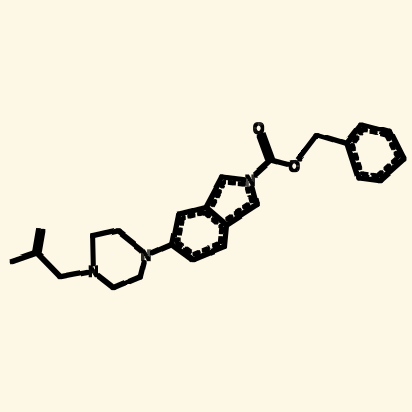 C=C(C)CN1CCN(c2ccc3cn(C(=O)OCc4ccccc4)cc3c2)CC1